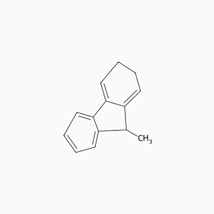 CC1C2=CCCC=C2c2ccccc21